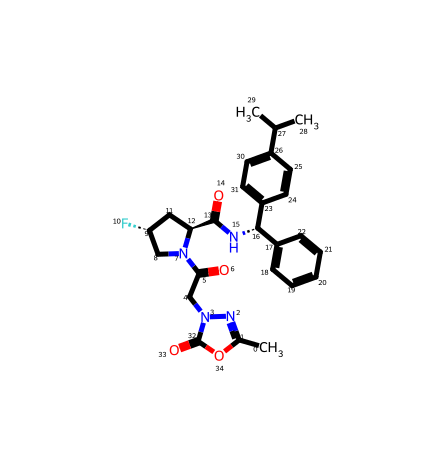 Cc1nn(CC(=O)N2C[C@H](F)C[C@H]2C(=O)N[C@@H](c2ccccc2)c2ccc(C(C)C)cc2)c(=O)o1